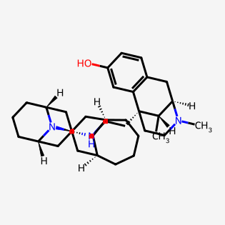 C[C@H]1[C@H]2Cc3ccc(O)cc3[C@]1(CCN[C@H]1C[C@H]3CCC[C@@H](C1)N3[C@@H]1C[C@@H]3CCCC[C@@H](C3)C1)CCN2C